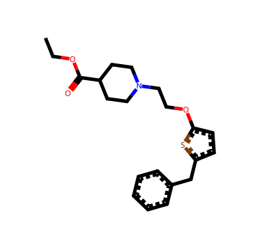 CCOC(=O)C1CCN(CCOc2ccc(Cc3ccccc3)s2)CC1